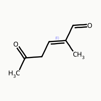 CC(=O)C/C=C(\C)C=O